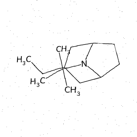 CCC1CC2CCC(C1)N2C(C)(C)C